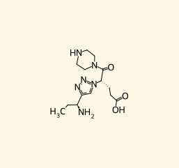 CC[C@H](N)c1cn([C@@H](CCC(=O)O)C(=O)N2CCNCC2)nn1